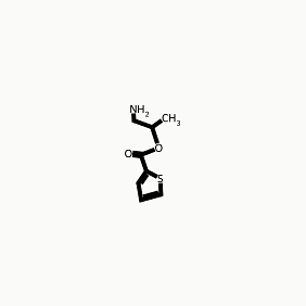 CC(CN)OC(=O)c1cccs1